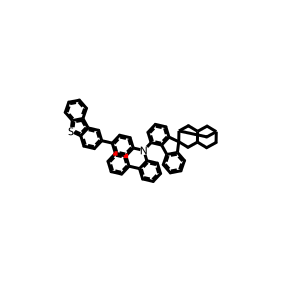 c1ccc(-c2ccccc2N(c2ccc(-c3ccc4sc5ccccc5c4c3)cc2)c2cccc3c2-c2ccccc2C32CC3CCC4CC3CC2C4)cc1